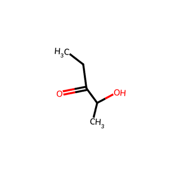 CCC(=O)C(C)O